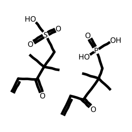 C=CC(=O)C(C)(C)CP(=O)(O)O.C=CC(=O)C(C)(C)CS(=O)(=O)O